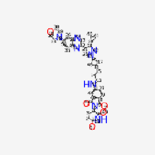 O=C1CCC(N2C(=O)c3ccc(NCCC[C@H]4C[C@H](n5cc(-c6cnc7cc(N8CCOCC8)ccc7n6)c(C6CC6)n5)C4)cc3C2=O)C(=O)N1